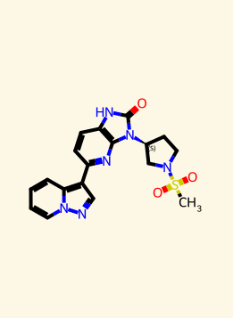 CS(=O)(=O)N1CC[C@H](n2c(=O)[nH]c3ccc(-c4cnn5ccccc45)nc32)C1